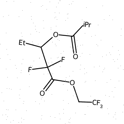 CCC(OC(=O)C(C)C)C(F)(F)C(=O)OCC(F)(F)F